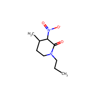 CCCN1CCC(C)C([N+](=O)[O-])C1=O